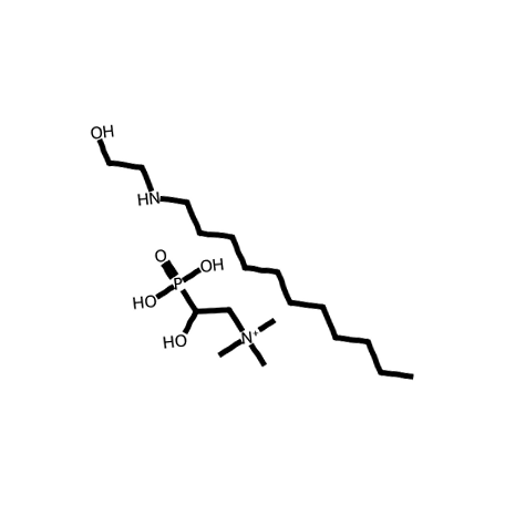 CCCCCCCCCCCNCCO.C[N+](C)(C)CC(O)P(=O)(O)O